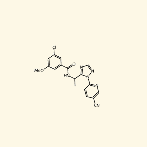 COc1cc(Cl)cc(C(=O)NC(C)c2ncnn2-c2ccc(C#N)cn2)c1